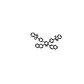 c1ccc2cc(-c3nc(-c4ccc5ccccc5c4)c(-c4ccc(-c5nc6ccccc6s5)cc4)cc3-c3ccc(-c4nc5ccccc5o4)cc3)ccc2c1